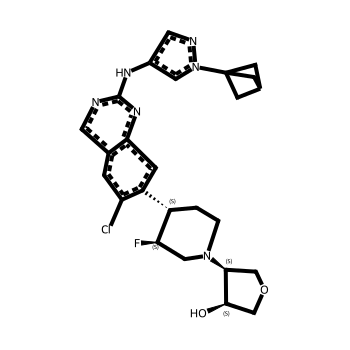 O[C@@H]1COC[C@@H]1N1CC[C@@H](c2cc3nc(Nc4cnn(C56CC(C5)C6)c4)ncc3cc2Cl)[C@H](F)C1